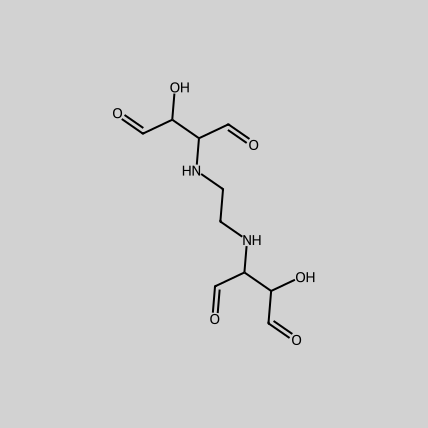 O=CC(O)C(C=O)NCCNC(C=O)C(O)C=O